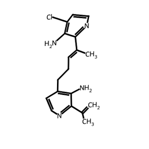 C=C(C)c1nccc(CC/C=C(\C)c2nccc(Cl)c2N)c1N